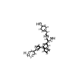 CCC(CC)n1cc(-c2nc(/C(C=N)=C/NCCN3CCC(O)CC3)cn3nccc23)cn1